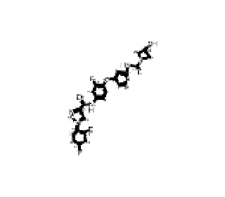 O=C(Nc1ccc(Oc2ccnc(NC(=O)N3CC(O)C3)c2)c(F)c1)c1cn(-c2ccc(F)cc2F)nn1